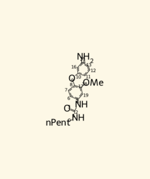 CCCCCNC(=O)Nc1ccc(Oc2cccc(N)c2)c(OC)c1